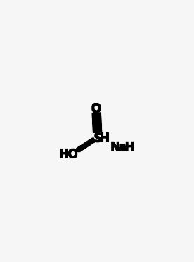 O=[SH]O.[NaH]